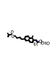 C=C(C)C(=O)OCCCCc1ccc2c(C)c(/C=C(\CC)OC=O)ccc2c1